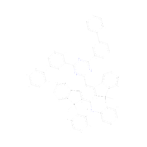 CC1(C)c2ccccc2-c2c(-c3nc(-c4cccc(-c5ccccc5)c4)nc(-c4cccc(-c5ccccc5)c4)n3)c3c(c(N(c4ccccc4)c4ccccc4)c21)C(C)(C)c1ccccc1-3